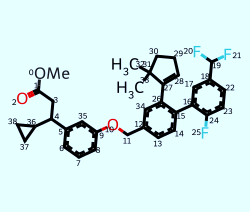 COC(=O)CC(c1cccc(OCc2ccc(-c3cc(C(F)F)ccc3F)c(C3=CCCC3(C)C)c2)c1)C1CC1